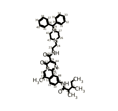 CCC(C)C(C)C(=O)Nc1ccc2c(C)cn3c(=O)c(C(=O)NCCN4CCN(C(c5ccccc5)c5ccccc5)CC4)cnc3c2c1